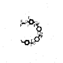 CCc1ccc(C(F)(F)OC2CCC(C(F)(F)OC3CCC(C(F)(F)Oc4cc(F)c(OC=C(F)F)c(F)c4)CC3)CC2)cc1